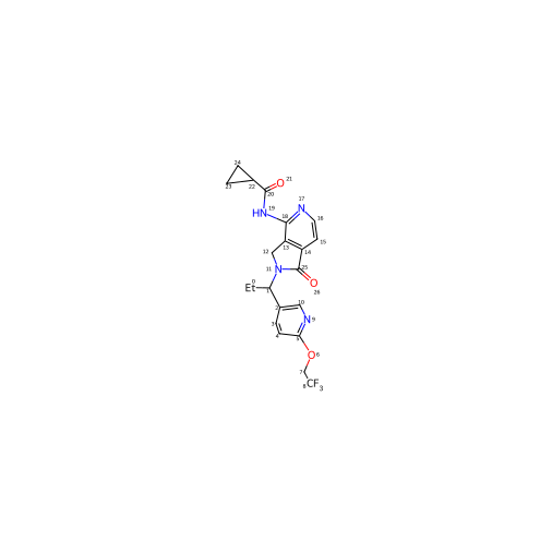 CCC(c1ccc(OCC(F)(F)F)nc1)N1Cc2c(ccnc2NC(=O)C2CC2)C1=O